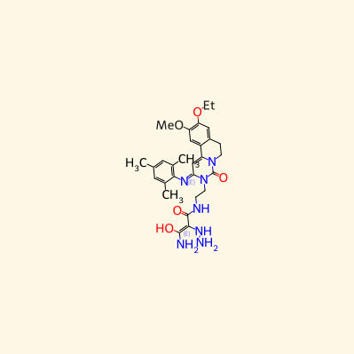 CCOc1cc2c(cc1OC)-c1c/c(=N\c3c(C)cc(C)cc3C)n(CCNC(=O)/C(NN)=C(/N)O)c(=O)n1CC2